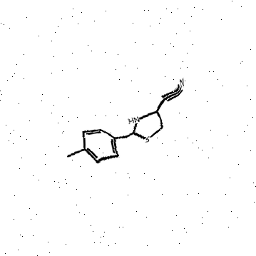 Cc1ccc(C2NC(C#N)CS2)cc1